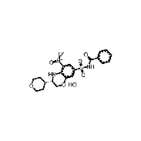 Cl.O=C(NS(=O)(=O)c1cc2c(c([N+](=O)[O-])c1)N[C@@H](C1CCOCC1)CO2)c1ccccc1